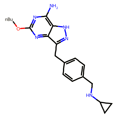 CCCCOc1nc(N)c2[nH]nc(Cc3ccc(CNC4CC4)cc3)c2n1